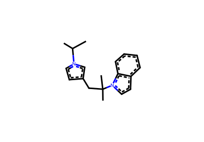 CC(C)n1ccc(CC(C)(C)n2ccc3ccccc32)c1